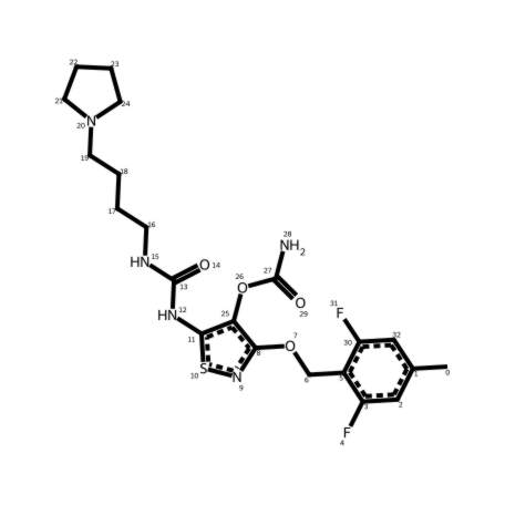 Cc1cc(F)c(COc2nsc(NC(=O)NCCCCN3CCCC3)c2OC(N)=O)c(F)c1